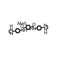 CSc1cc(C(=O)Nc2ccc(C3=NCCN3)cc2)ccc1C(=O)Nc1ccc(C2=NCCN2)cc1